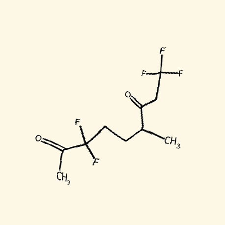 CC(=O)C(F)(F)CCC(C)C(=O)CC(F)(F)F